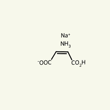 N.O=C([O-])/C=C\C(=O)O.[Na+]